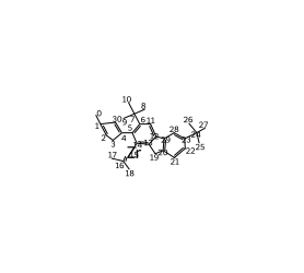 CC1=CCC(c2c(C(C)(C)C)cc3c([c]2[Zr]=[C](C)C)Cc2ccc(C(C)(C)C)cc2-3)=C1